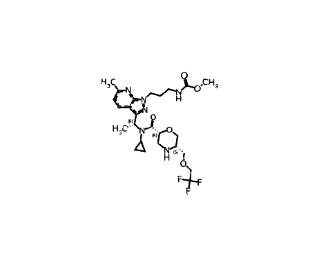 COC(=O)NCCCn1nc([C@@H](C)N(C(=O)[C@H]2CN[C@@H](COCC(F)(F)F)CO2)C2CC2)c2ccc(C)nc21